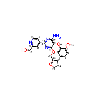 COc1ccccc1Oc1c(N)nc(-c2ccnc(CO)c2)nc1OCC1CCCO1